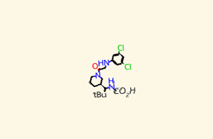 CC(C)(C)C(NC(=O)O)[C@H]1CCCN(C(=O)CNc2cc(Cl)cc(Cl)c2)C1